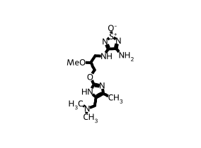 COC(CNc1n[s+]([O-])nc1N)COc1nc(C)c(CN(C)C)[nH]1